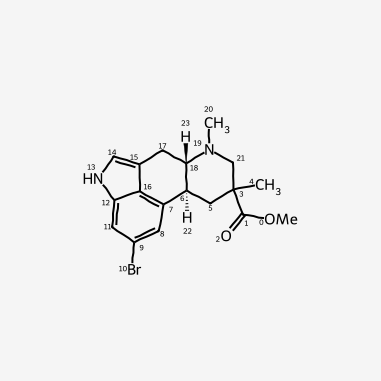 COC(=O)C1(C)C[C@H]2c3cc(Br)cc4[nH]cc(c34)C[C@@H]2N(C)C1